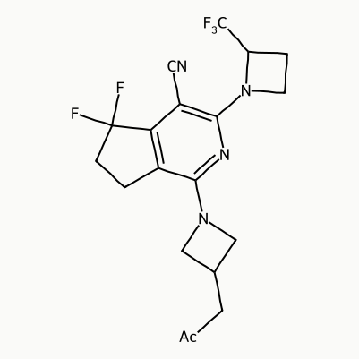 CC(=O)CC1CN(c2nc(N3CCC3C(F)(F)F)c(C#N)c3c2CCC3(F)F)C1